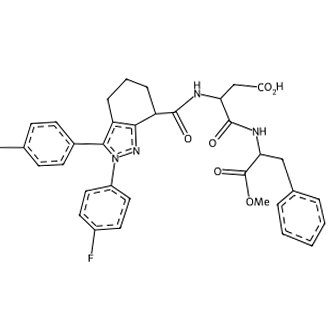 COC(=O)C(Cc1ccccc1)NC(=O)C(CC(=O)O)NC(=O)C1CCCc2c1nn(-c1ccc(F)cc1)c2-c1ccc(Cl)cc1